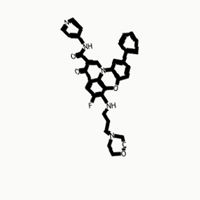 O=C(Nc1ccncc1)c1cn2c3c(c(NCCCN4CCOCC4)c(F)cc3c1=O)Oc1ccc(-c3ccccc3)cc1-2